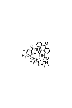 CC(C)NC(C)C(=O)Nc1cccc2c1C(=O)c1c(NC(=O)C(C)NC(C)C)cccc1C2=O